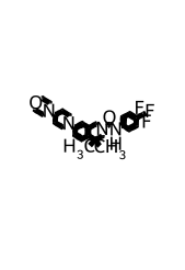 CC1(C)CN(C(=O)Nc2ccc(C(F)(F)F)cc2)Cc2cc(N3CCC(N4CCOCC4)CC3)ccc21